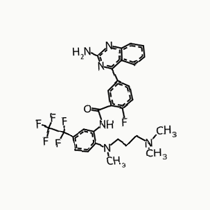 CN(C)CCCN(C)c1ccc(C(F)(F)C(F)(F)F)cc1NC(=O)c1cc(-c2nc(N)nc3ccccc23)ccc1F